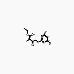 CCOC(=O)C(C)C(=O)CSc1nc(C)cc(C)n1